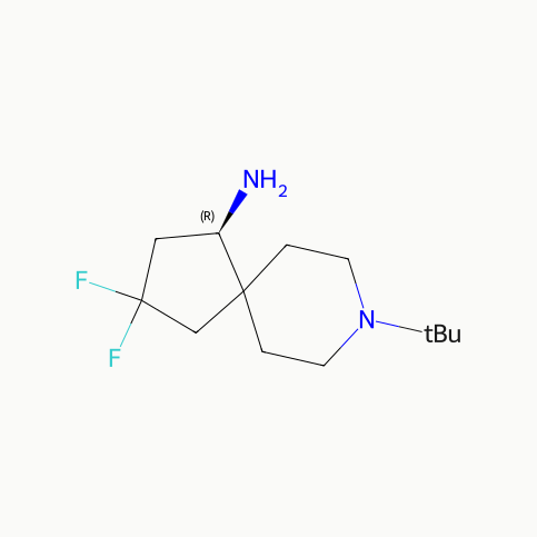 CC(C)(C)N1CCC2(CC1)CC(F)(F)C[C@H]2N